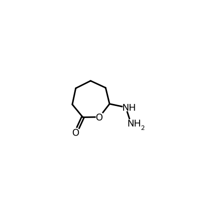 NNC1CCCCC(=O)O1